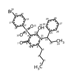 CCCCc1nc(=O)c(S(=O)(=O)c2ccc(Br)cc2)c(O)n1C(CC)c1ccccc1